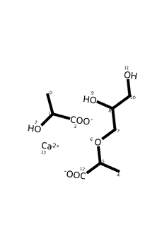 CC(O)C(=O)[O-].CC(OCC(O)CO)C(=O)[O-].[Ca+2]